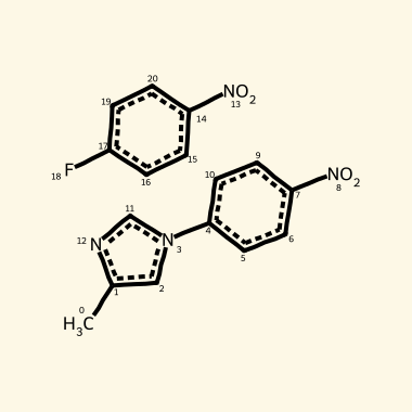 Cc1cn(-c2ccc([N+](=O)[O-])cc2)cn1.O=[N+]([O-])c1ccc(F)cc1